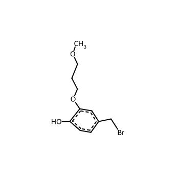 COCCCOc1cc(CBr)ccc1O